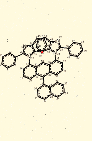 c1ccc(-c2nc3ccccc3n2-c2cccc3c(-c4cccc5ccccc45)c4cccc(-n5c(-c6ccccc6)nc6ccccc65)c4cc23)cc1